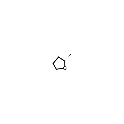 C[C@H]1CCCO1